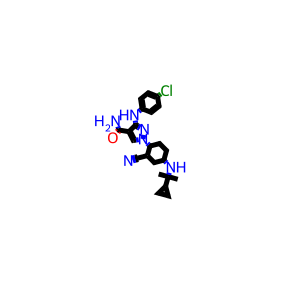 CC(C)(NC1CCC(n2cc(C(N)=O)c(Nc3ccc(Cl)cc3)n2)C(C#N)C1)C1CC1